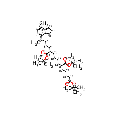 Cc1ccc(C(C)CCCC(CCCCC(CCCCC(=O)OC(C)(C)C)C(=O)OC(C)(C)C)C(=O)OC(C)(C)C)c2c1=CCC=2